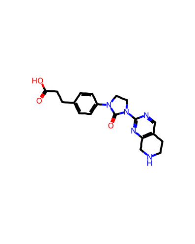 O=C(O)CCc1ccc(N2CCN(c3ncc4c(n3)CNCC4)C2=O)cc1